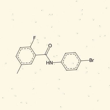 Cc1ccc(F)c(C(=O)Nc2ccc(Br)cc2)c1